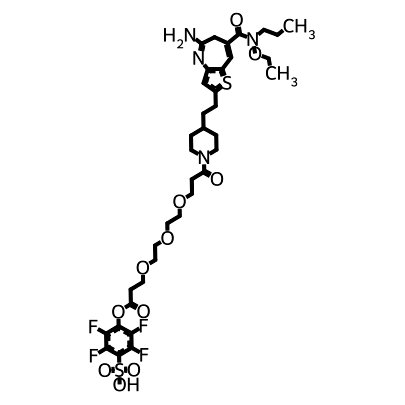 CCCN(OCC)C(=O)C1=Cc2sc(CCC3CCN(C(=O)CCOCCOCCOCCC(=O)Oc4c(F)c(F)c(S(=O)(=O)O)c(F)c4F)CC3)cc2N=C(N)C1